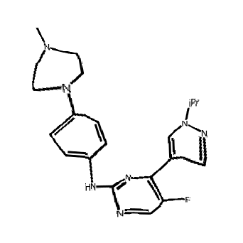 CC(C)n1cc(-c2nc(Nc3ccc(N4CCN(C)CC4)cc3)ncc2F)cn1